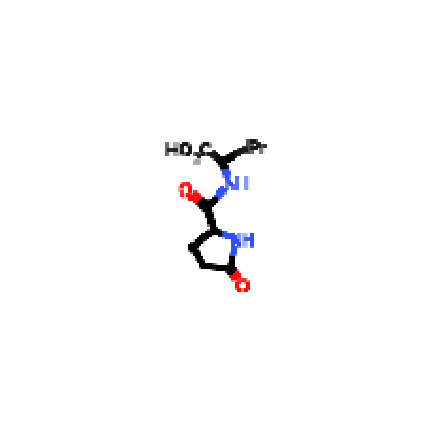 CC(C)C(NC(=O)C1CCC(=O)N1)C(=O)O